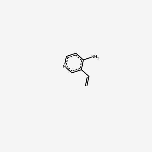 C=Cc1cnccc1N